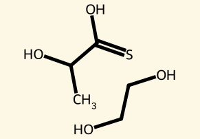 CC(O)C(O)=S.OCCO